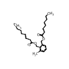 CCCCCCCC(=O)OCc1cccc(C)c1COC(=O)CCCCCCC